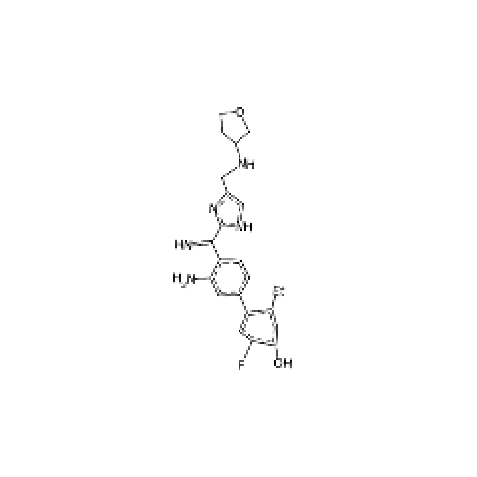 CCc1cc(O)c(F)cc1-c1ccc(C(=N)c2nc(CNC3CCOC3)c[nH]2)c(N)c1